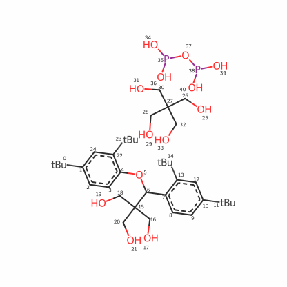 CC(C)(C)c1ccc(OC(c2ccc(C(C)(C)C)cc2C(C)(C)C)C(CO)(CO)CO)c(C(C)(C)C)c1.OCC(CO)(CO)CO.OP(O)OP(O)O